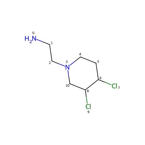 NCCN1CCC(Cl)C(Cl)C1